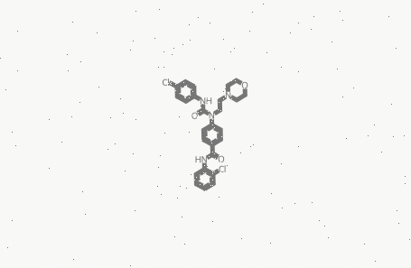 O=C(Nc1ccccc1Cl)c1ccc(N(CCN2CCOCC2)C(=O)Nc2ccc(Cl)cc2)cc1